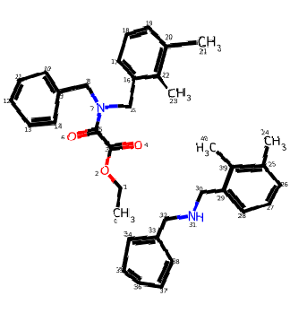 CCOC(=O)C(=O)N(Cc1ccccc1)Cc1cccc(C)c1C.Cc1cccc(CNCc2ccccc2)c1C